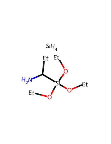 CCO[Si](OCC)(OCC)C(N)CC.[SiH4]